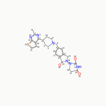 Cc1nc(C2CCN(Cc3ccc4c(c3)CN(N3CCC(=O)NC3=O)C4=O)CC2)c2ccsc2n1